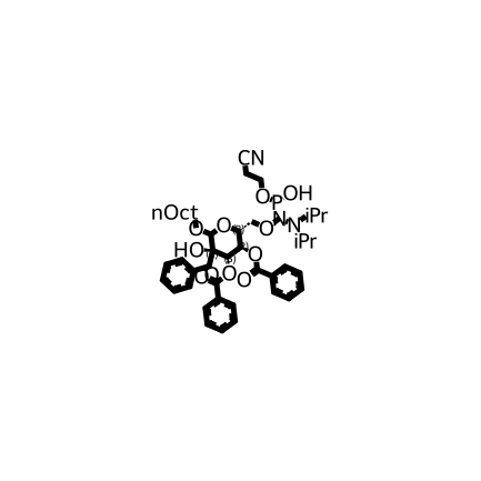 CCCCCCCCOC1O[C@H](CON(N(C(C)C)C(C)C)P(O)OCCC#N)[C@@H](OC(=O)c2ccccc2)[C@H](OC(=O)c2ccccc2)[C@]1(O)C(=O)c1ccccc1